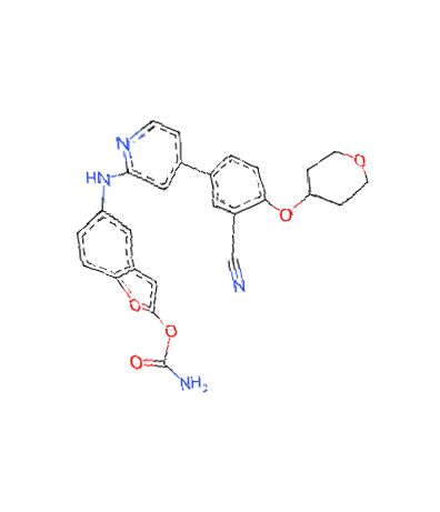 N#Cc1cc(-c2ccnc(Nc3ccc4oc(OC(N)=O)cc4c3)c2)ccc1OC1CCOCC1